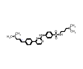 CN(C)C/C=C/c1ccc(-c2ccnc(Nc3ccc(S(=O)(=O)NCCCN(C)C)cc3)n2)cc1